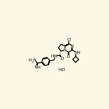 Cl.N=C(N)c1ccc(CNC(=O)[C@@H]2CCc3c(Cl)nc(NC4CCC4)c(=O)n32)cc1